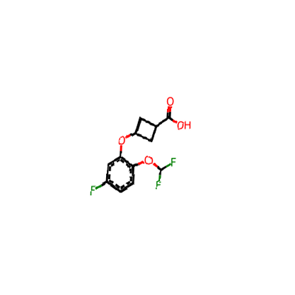 O=C(O)C1CC(Oc2cc(F)ccc2OC(F)F)C1